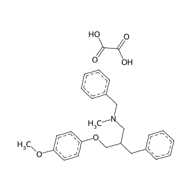 COc1ccc(OCC(Cc2ccccc2)CN(C)Cc2ccccc2)cc1.O=C(O)C(=O)O